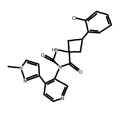 Cn1ccc(-c2ccncc2N2C(=O)NC3(CC(c4ccccc4Cl)C3)C2=O)n1